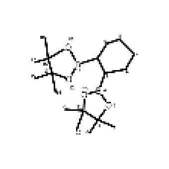 CC1(C)OB(C2CCCCC2B2OC(C)(C)C(C)(C)O2)OC1(C)C